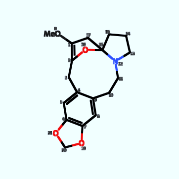 COC1=C2Cc3cc4c(cc3CCN3CCCC3(C1)O2)OCO4